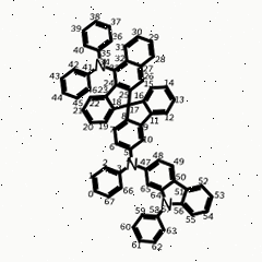 c1ccc(N(c2ccc3c(c2)-c2ccccc2C32c3ccccc3-c3c2cc2ccccc2c3N(c2ccccc2)c2ccccc2)c2ccc3c4ccccc4n(-c4ccccc4)c3c2)cc1